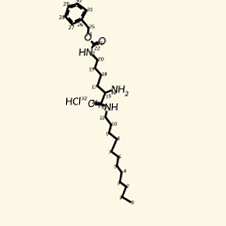 CCCCCCCCCCCCNC(=O)C(N)CCCCNC(=O)OCc1ccccc1.Cl